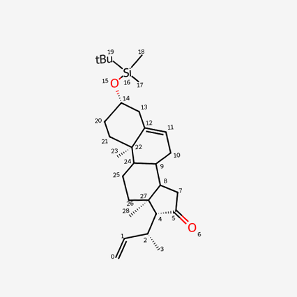 C=C[C@@H](C)[C@H]1C(=O)CC2C3CC=C4C[C@@H](O[Si](C)(C)C(C)(C)C)CC[C@]4(C)C3CC[C@@]21C